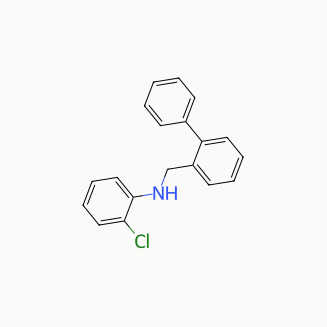 Clc1ccccc1NCc1ccccc1-c1ccccc1